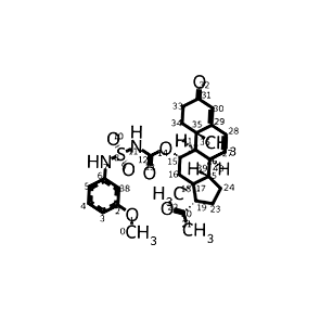 COc1cccc(NS(=O)(=O)NC(=O)O[C@H]2C[C@]3(C)[C@@H](C(C)=O)CC[C@H]3[C@@H]3C=CC4=CC(=O)CC[C@@]4(C)[C@@H]32)c1